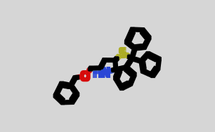 c1ccc(COCC2CC(SC(c3ccccc3)(c3ccccc3)c3ccccc3)CN2)cc1